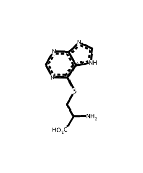 NC(CSc1ncnc2nc[nH]c12)C(=O)O